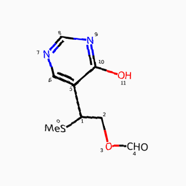 CSC(COC=O)c1cncnc1O